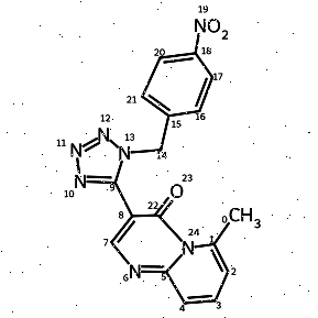 Cc1cccc2ncc(-c3nnnn3Cc3ccc([N+](=O)[O-])cc3)c(=O)n12